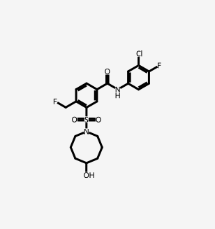 O=C(Nc1ccc(F)c(Cl)c1)c1ccc(CF)c(S(=O)(=O)N2CCCC(O)CCC2)c1